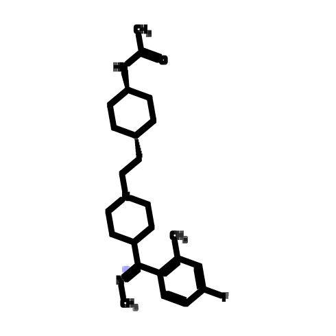 C/N=C(\c1ccc(F)cc1C)C1CCN(CC[C@H]2CC[C@H](NC(C)=O)CC2)CC1